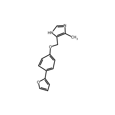 Cc1nc[nH]c1COc1ccc(-c2ccco2)cc1